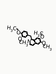 CCOc1ccc(Cc2nccc3cc(OC)c(OC)cc23)cc1OC